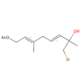 CC(=O)OC/C=C(\C)C/C=C/C(C)(O)CBr